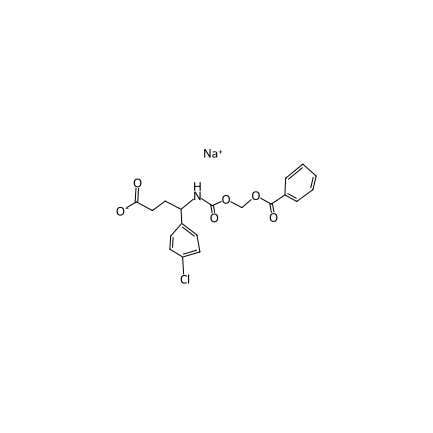 O=C([O-])CCC(NC(=O)OCOC(=O)c1ccccc1)c1ccc(Cl)cc1.[Na+]